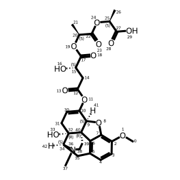 COc1ccc2c3c1O[C@@H]1C(OC(=O)C[C@H](O)C(=O)O[C@@H](C)C(=O)O[C@@H](C)C(=O)O)=CC[C@]4(O)[C@H](C2)N(C)CC[C@@]314